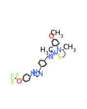 COc1ccc(N2/C(=N/N=C/c3ccc(-c4ncn(-c5ccc(OC(F)(F)F)cc5)n4)cc3)SCCC2C)c(C)c1